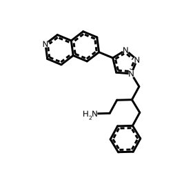 NCCC(Cc1ccccc1)Cn1cc(-c2ccc3cnccc3c2)nn1